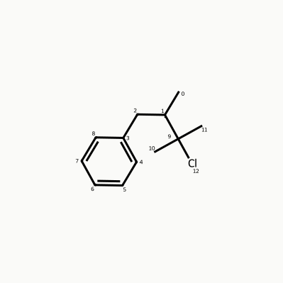 C[C](Cc1ccccc1)C(C)(C)Cl